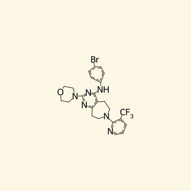 FC(F)(F)c1cccnc1N1CCc2nc(N3CCOCC3)nc(Nc3ccc(Br)cc3)c2CC1